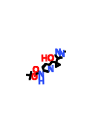 Cn1cc(C2(C(O)c3ccc(NC(=O)OC(C)(C)C)cn3)CC2)cn1